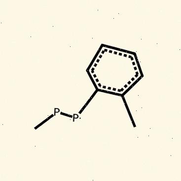 C[P][P]c1ccccc1C